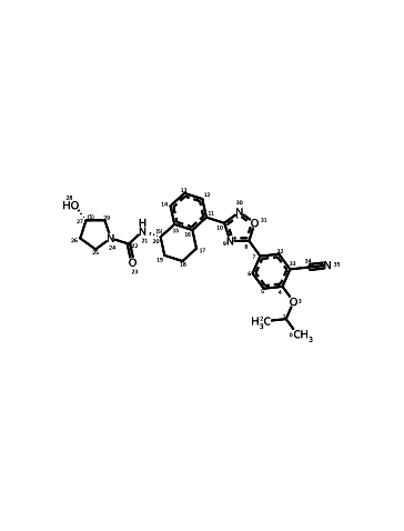 CC(C)Oc1ccc(-c2nc(-c3cccc4c3CCC[C@@H]4NC(=O)N3CC[C@H](O)C3)no2)cc1C#N